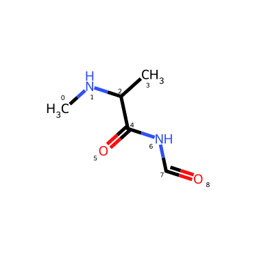 CNC(C)C(=O)NC=O